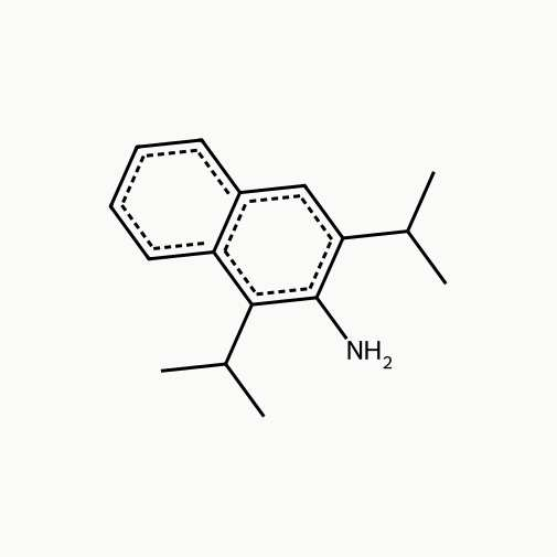 CC(C)c1cc2ccccc2c(C(C)C)c1N